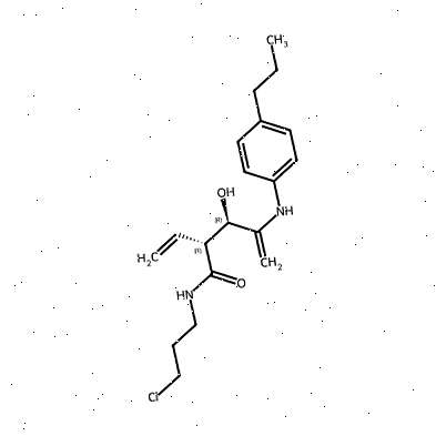 C=C[C@@H](C(=O)NCCCCl)[C@@H](O)C(=C)Nc1ccc(CCC)cc1